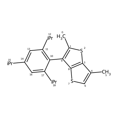 Cc1sc2c(C)csc2c1-c1c(C(C)C)cc(C(C)C)cc1C(C)C